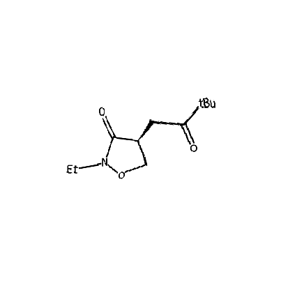 CCN1OC[C@H](CC(=O)C(C)(C)C)C1=O